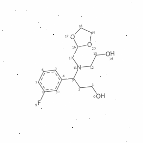 OCCC(c1cccc(F)c1)N(CCO)CC1OCCO1